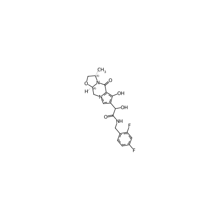 C[C@H]1CO[C@@H]2Cn3cc(C(O)C(=O)NCc4ccc(F)cc4F)c(O)c3C(=O)N12